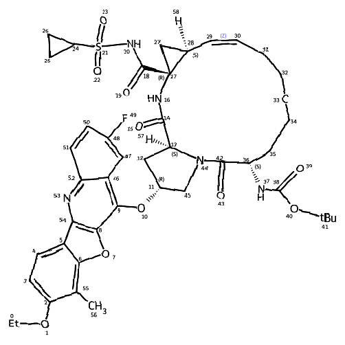 CCOc1ccc2c(oc3c(O[C@@H]4C[C@H]5C(=O)N[C@]6(C(=O)NS(=O)(=O)C7CC7)C[C@H]6/C=C\CCCCC[C@H](NC(=O)OC(C)(C)C)C(=O)N5C4)c4cc(F)ccc4nc32)c1C